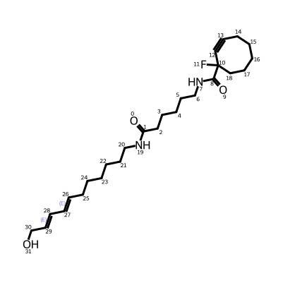 O=C(CCCCCNC(=O)C1(F)C#CCCCCC1)NCCCCCC/C=C/C=C/CO